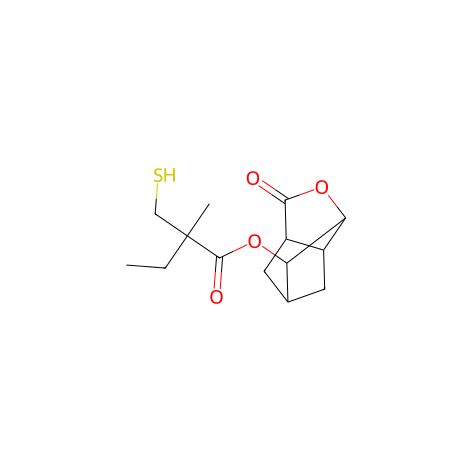 CCC(C)(CS)C(=O)OC1C2CC3C(=O)OC1C3C2